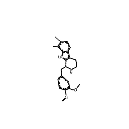 COc1ccc(CC2NCCc3c2[nH]c2c(C)c(C)ccc32)cc1OC